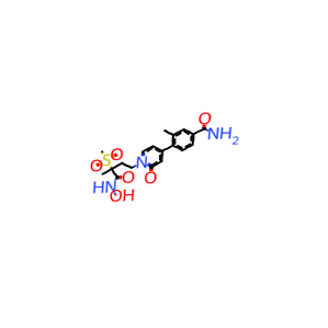 Cc1cc(C(N)=O)ccc1-c1ccn(CCC(C)(C(=O)NO)S(C)(=O)=O)c(=O)c1